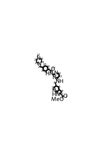 COC(=O)c1cc2cc(CNc3ccnc(NC(=O)c4ccc(CN5CCN(C)CC5)cc4)n3)cnc2[nH]1